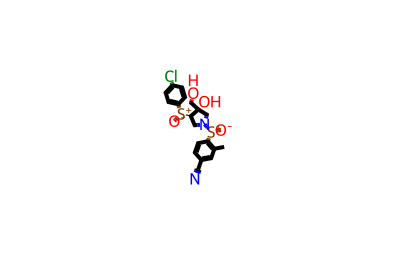 Cc1cc(C#N)ccc1[S+]([O-])N1C[C@H]([S+]([O-])c2ccc(Cl)cc2)C(O)(CO)C1